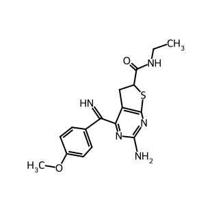 CCNC(=O)C1Cc2c(nc(N)nc2C(=N)c2ccc(OC)cc2)S1